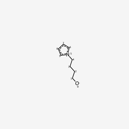 [O]CCCCn1cccc1